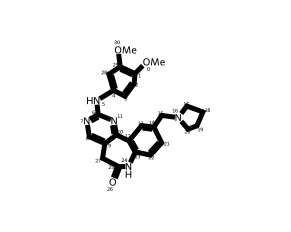 COc1ccc(Nc2ncc3c(n2)-c2cc(CN4CCCC4)ccc2NC(=O)C3)cc1OC